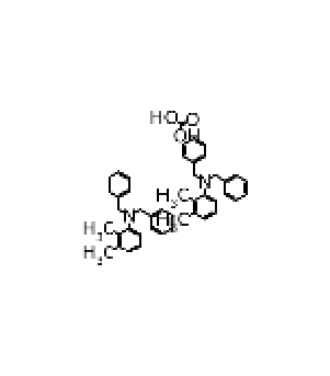 Cc1cccc(N(Cc2ccccc2)Cc2ccccc2)c1C.Cc1cccc(N(Cc2ccccc2)Cc2ccccc2)c1C.O=C(O)O